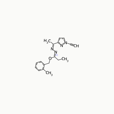 C#Cn1ccc(C(C)=N/N=C(/CC)OCc2ccccc2C)n1